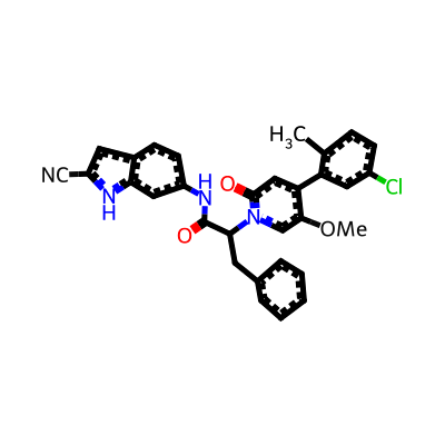 COc1cn(C(Cc2ccccc2)C(=O)Nc2ccc3cc(C#N)[nH]c3c2)c(=O)cc1-c1cc(Cl)ccc1C